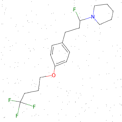 FC(CCc1ccc(OCCCC(F)(F)F)cc1)N1CCCCC1